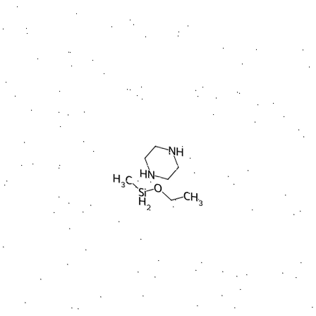 C1CNCCN1.CCO[SiH2]C